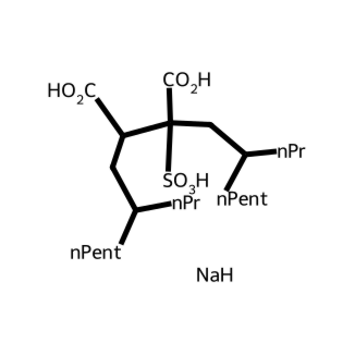 CCCCCC(CCC)CC(C(=O)O)C(CC(CCC)CCCCC)(C(=O)O)S(=O)(=O)O.[NaH]